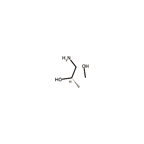 CO.C[C@H](O)CN